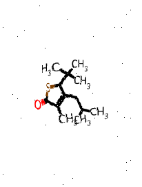 CC1=C(CC(C)C)C(C(C)(C)C)SC1=O